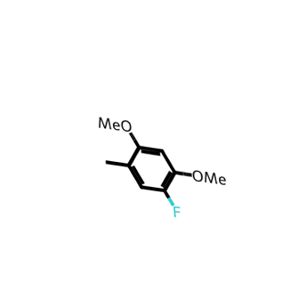 COc1cc(OC)c(F)cc1C